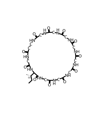 CC[C@H](C)C1NC(=O)CNC(=O)CCNC(=O)CNC(=O)CNC(=O)CNC(=O)CNC(=O)CNC(=O)CNC(=O)CNC(=O)CNC1=O